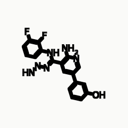 N=N/N=C(\Nc1cccc(F)c1F)c1cc(-c2cccc(O)c2)cnc1N